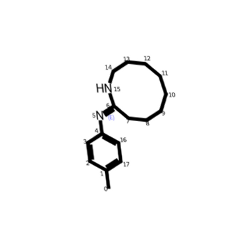 Cc1ccc(/N=C2\CCCCCCCCN2)cc1